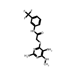 CNc1nc(N)nc(SCC(=O)Nc2cccc(C(F)(F)F)c2)c1N